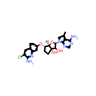 Cc1cn([C@@H]2O[C@@H]3[C@@H](Oc4ccc5cc(Cl)c(N)nc5c4)CC[C@]3(O)C2O)c2ncnc(N)c12